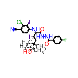 CC(C)(C[C@H](I)[C@@H](Nc1ccc(C#N)c(Cl)c1I)C(=O)NNC(=O)c1ccc(F)cc1)[Si](C)(C)O